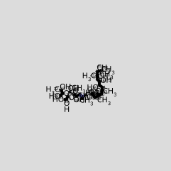 CO[C@@](CO)(OC(OC(CO)[C@H](C)O)C(O)O)[C@H](O)/C=C(\C)COC(=O)CC(C)(C)CC(C)(C)CC(O)C(O)CC(C)(C)CC(C)(C)C